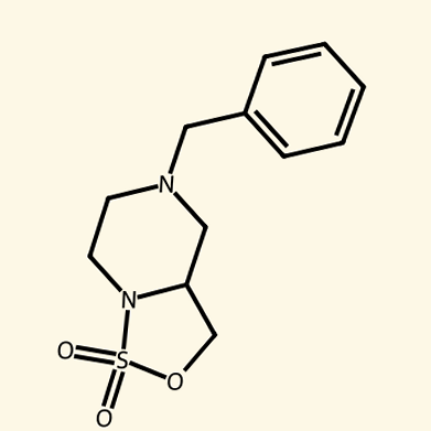 O=S1(=O)OCC2CN(Cc3ccccc3)CCN21